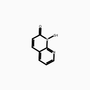 O=c1ccc2cccnc2n1S